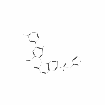 COc1cc(-c2ccnc(C)c2)c(F)cc1-n1c(=O)ccc2cc(S(=O)(=O)Nc3ccon3)ccc21